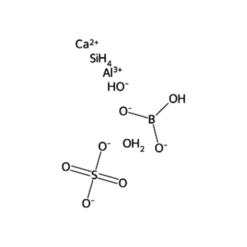 O.O=S(=O)([O-])[O-].[Al+3].[Ca+2].[O-]B([O-])O.[OH-].[SiH4]